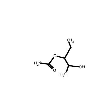 CCC(OC(N)=O)C(C)O